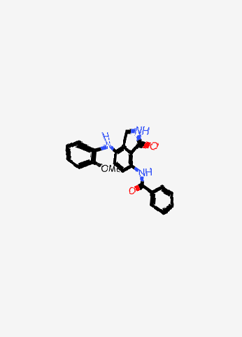 COc1ccccc1Nc1ccc(NC(=O)c2ccccc2)c2c1CNC2=O